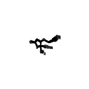 C#CCOC1=CC(=O)SC1(C)CCCCCC